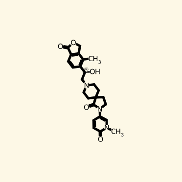 Cc1c([C@@H](O)CN2CCC3(CC2)CCN(c2ccc(=O)n(C)c2)C3=O)ccc2c1COC2=O